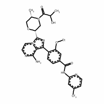 CCOc1cc(C(=O)Nc2cc(C(F)(F)F)ccn2)ccc1-c1nc([C@H]2CN(C(=O)C(C)O)[C@@H](C)CO2)n2ccnc(N)c12